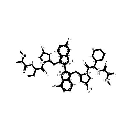 CCC(NC(=O)C(C)NC)C(=O)N1CC(F)CC1Cc1c(-c2[nH]c3c(F)cccc3c2CC2CC(O)CN2C(=O)C(NC(=O)C(C)NC)C2CCCCC2)[nH]c2cc(F)ccc12